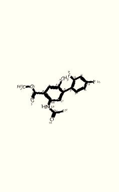 COC(=O)c1cc(C)c(-c2ccc(F)cc2F)cc1NC(=O)I